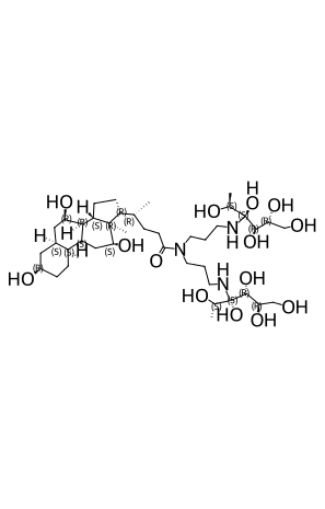 C[C@H](CCC(=O)N(CCCN[C@](O)([C@H](C)O)[C@H](O)[C@H](O)CO)CCCN[C@](O)([C@H](C)O)[C@H](O)[C@H](O)CO)[C@H]1CC[C@H]2[C@@H]3[C@H](O)C[C@@H]4C[C@H](O)CC[C@]4(C)[C@H]3C[C@H](O)[C@]12C